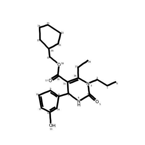 CCCN1C(=O)NC(c2cccc(O)c2)C(C(=O)OCC2CCCCC2)=C1CC